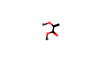 C=C(OCC)C(=O)OCC